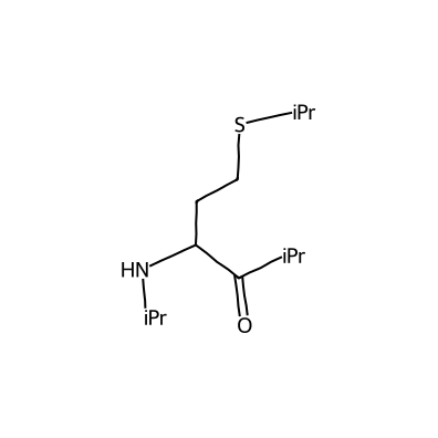 CC(C)NC(CCSC(C)C)C(=O)C(C)C